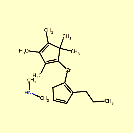 CCCC1=[C]([Zr][C]2=C(C)C(C)=C(C)C2(C)C)CC=C1.CNC